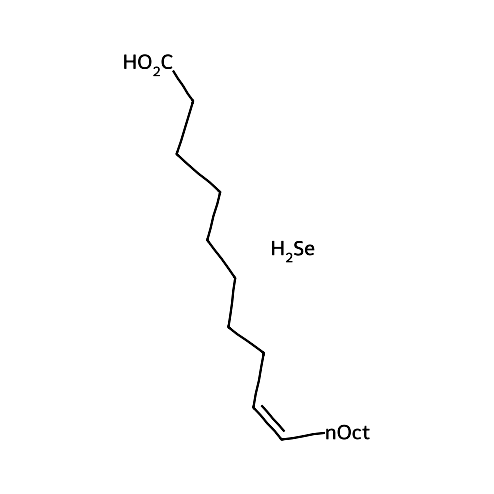 CCCCCCCC/C=C\CCCCCCCC(=O)O.[SeH2]